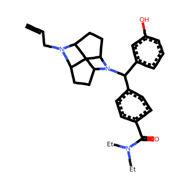 C=CCN1C2CCC3N(C(c4ccc(C(=O)N(CC)CC)cc4)c4cccc(O)c4)C4CCC1C234